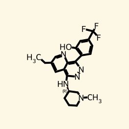 CCc1cnc2c(-c3ccc(C(F)(F)F)cc3O)nnc(N[C@@H]3CCCN(C)C3)c2c1